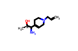 C=CCN1CC=C(C(N)[C@@H](C)O)CC1